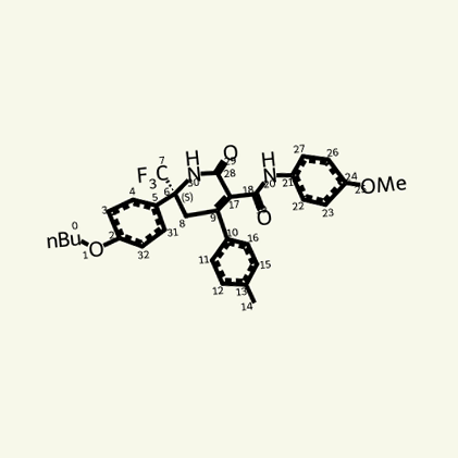 CCCCOc1ccc([C@]2(C(F)(F)F)CC(c3ccc(C)cc3)=C(C(=O)Nc3ccc(OC)cc3)C(=O)N2)cc1